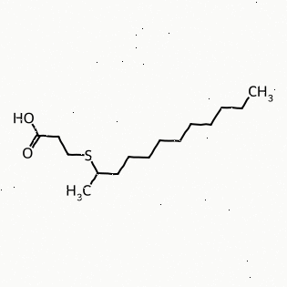 CCCCCCCCCCC(C)SCCC(=O)O